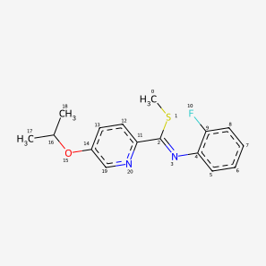 CSC(=Nc1ccccc1F)c1ccc(OC(C)C)cn1